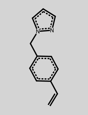 C=Cc1ccc(Cn2cccn2)cc1